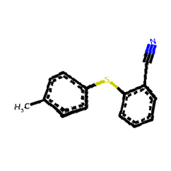 Cc1ccc(Sc2ccccc2C#N)cc1